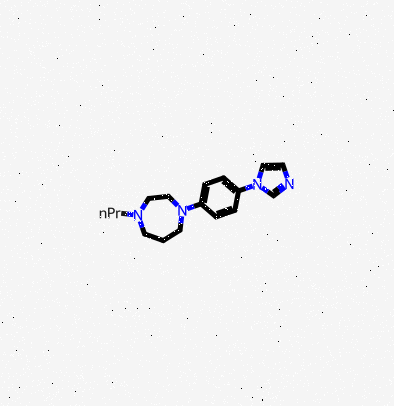 CCCN1CCCN(c2ccc(-n3ccnc3)cc2)CC1